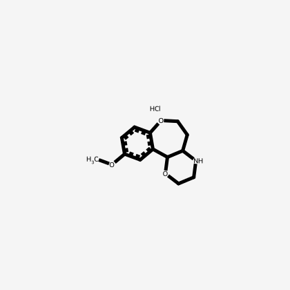 COc1ccc2c(c1)C1OCCNC1CCO2.Cl